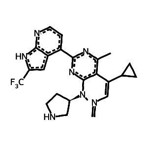 C=N/C=C(\c1c(C)nc(-c2ccnc3[nH]c(C(F)(F)F)cc23)nc1N(C)[C@@H]1CCNC1)C1CC1